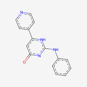 O=c1cc(-c2ccncc2)[nH]c(Nc2ccccc2)n1